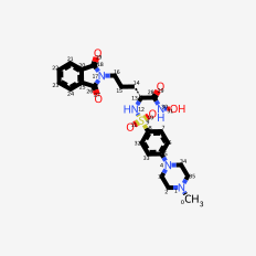 CN1CCN(c2ccc(S(=O)(=O)N[C@H](CCCN3C(=O)c4ccccc4C3=O)C(=O)NO)cc2)CC1